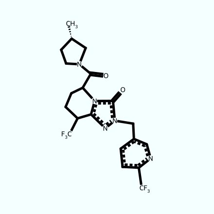 C[C@H]1CCN(C(=O)C2CCC(C(F)(F)F)c3nn(Cc4ccc(C(F)(F)F)nc4)c(=O)n32)C1